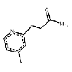 Cc1ccnc(CCC(N)=O)c1